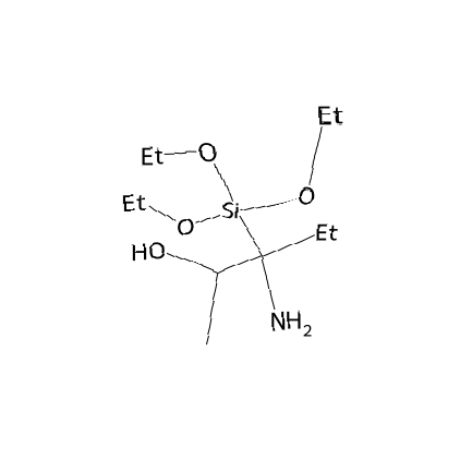 CCO[Si](OCC)(OCC)C(N)(CC)C(C)O